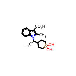 Cc1c(C(=O)O)c2ccccc2n1[C@@H](C)C1CCS(O)(O)CC1